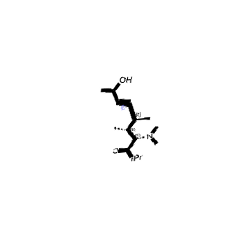 CC(O)/C=C/[C@@H](C)[C@@H](C)[C@@H](C(=O)C(C)C)N(C)C